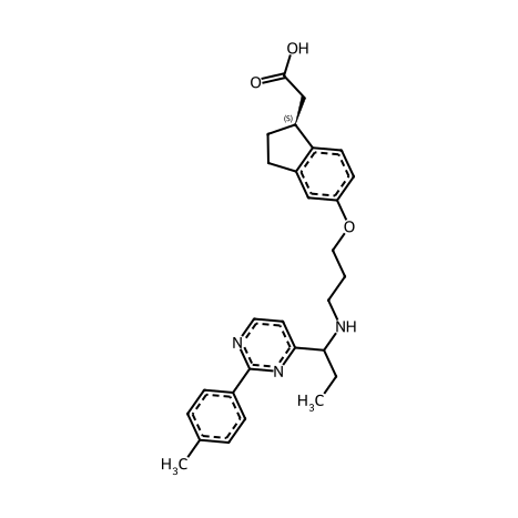 CCC(NCCCOc1ccc2c(c1)CC[C@H]2CC(=O)O)c1ccnc(-c2ccc(C)cc2)n1